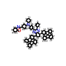 c1ccc(-c2nc3c(-c4ccc5c(c4)C4(c6ccccc6-c6ccccc64)c4ccccc4-5)ccc(-c4ccc5c(c4)C4(c6ccccc6-c6ccccc64)c4ccccc4-5)c3nc2-c2ccc(N(c3ccccc3)c3ccc(-c4nc5ccccc5o4)cc3)cc2)cc1